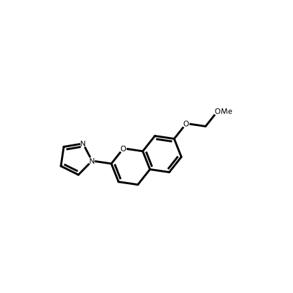 COCOc1ccc2c(c1)OC(n1cccn1)=CC2